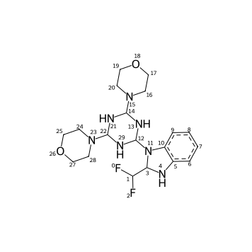 FC(F)C1Nc2ccccc2N1C1NC(N2CCOCC2)NC(N2CCOCC2)N1